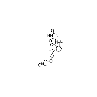 CN1CCC(O[C@H]2C[C@H](Nc3cccc4c3C(=O)N(C3CCC(=O)NC3=O)C4=O)C2)CC1